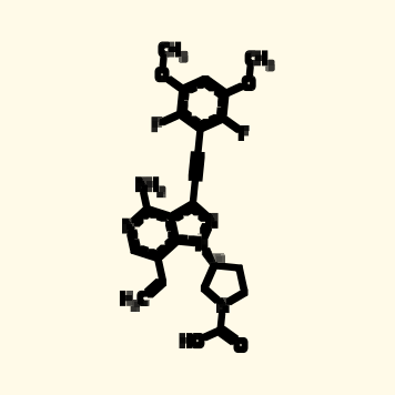 C=Cc1cnc(N)c2c(C#Cc3c(F)c(OC)cc(OC)c3F)nn([C@H]3CCN(C(=O)O)C3)c12